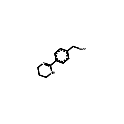 CNCc1ccc(C2=NCCCN2)cc1